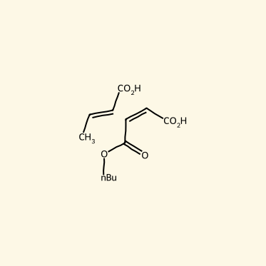 CC=CC(=O)O.CCCCOC(=O)/C=C\C(=O)O